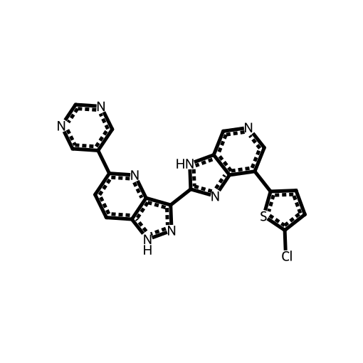 Clc1ccc(-c2cncc3[nH]c(-c4n[nH]c5ccc(-c6cncnc6)nc45)nc23)s1